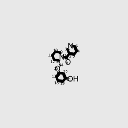 O=C(c1cccnc1)N1CCCC[C@H]1COc1cccc(O)c1